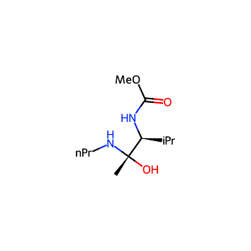 CCCN[C@@](C)(O)[C@@H](NC(=O)OC)C(C)C